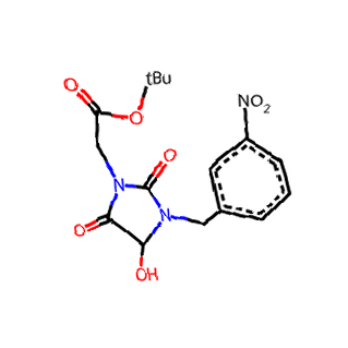 CC(C)(C)OC(=O)CN1C(=O)C(O)N(Cc2cccc([N+](=O)[O-])c2)C1=O